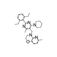 CCc1cccc(CC)c1-c1nc(C)c(CN2CCOc3ccc(C)nc32)c(N2CCCCC2)n1